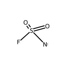 [N]S(=O)(=O)F